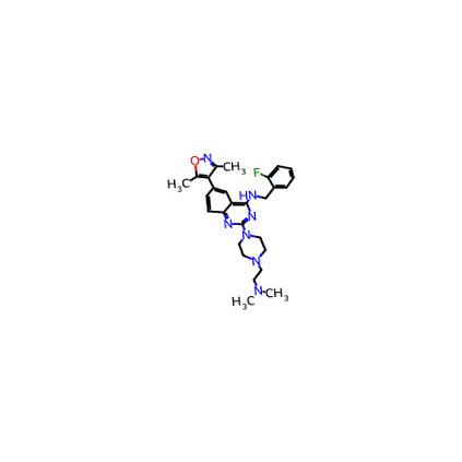 Cc1noc(C)c1-c1ccc2nc(N3CCN(CCN(C)C)CC3)nc(NCc3ccccc3F)c2c1